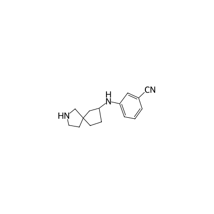 N#Cc1cccc(NC2CCC3(CCNC3)C2)c1